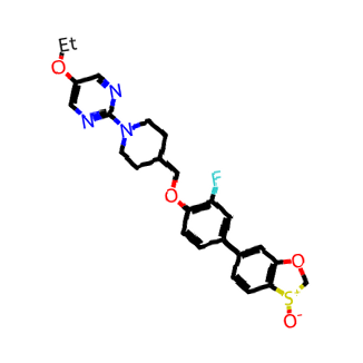 CCOc1cnc(N2CCC(COc3ccc(-c4ccc5c(c4)OC[S+]5[O-])cc3F)CC2)nc1